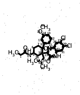 CCC(=O)NC1CCC(O)(c2cccc(OC)c2)C(CN(C)C)(c2nc3cc(Cl)c(Cl)cc3[nH]c2=O)C1